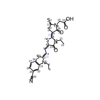 CCN1/C(=C/C=c2/s/c(=C3\SC(=S)N(CC(=O)O)C3=O)n(CC)c2=O)Sc2ccc(C#N)cc21